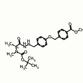 COC(=O)c1ccc(COc2ccc(CNNC(=O)[C@H](C)N(C)C(=O)OC(C)(C)C)cc2)cc1